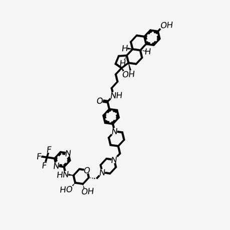 C[C@]12CC[C@@H]3c4ccc(O)cc4CC[C@H]3[C@@H]1CC[C@@]2(O)CCCNC(=O)c1ccc(N2CCC(CN3CCN(C[C@H]4OC[C@H](Nc5cncc(C(F)(F)F)n5)[C@@H](O)[C@H]4O)CC3)CC2)cc1